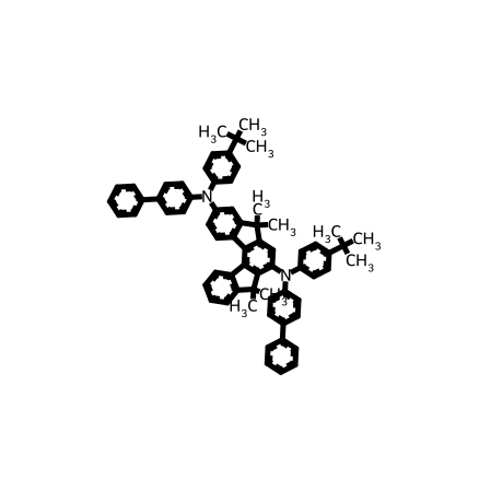 CC(C)(C)c1ccc(N(c2ccc(-c3ccccc3)cc2)c2ccc3c(c2)C(C)(C)c2cc(N(c4ccc(-c5ccccc5)cc4)c4ccc(C(C)(C)C)cc4)c4c(c2-3)-c2ccccc2C4(C)C)cc1